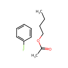 CCCCOC(C)=O.Fc1ccccc1